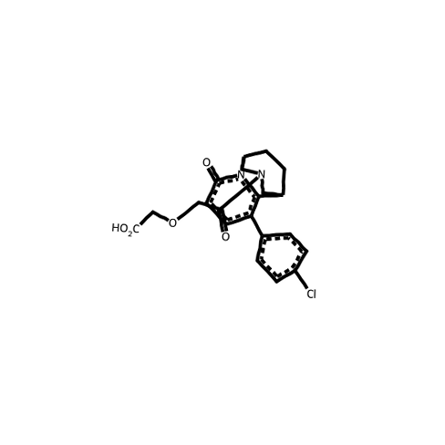 O=C(O)COCC(=O)N1CC2CCC(C1)n1c2c(-c2ccc(Cl)cc2)ccc1=O